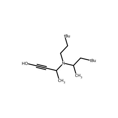 CC(C#CO)N(CCC(C)(C)C)C(C)CC(C)(C)C